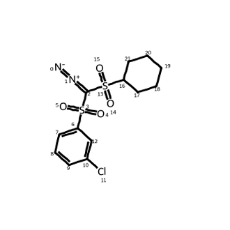 [N-]=[N+]=C(S(=O)(=O)c1cccc(Cl)c1)S(=O)(=O)C1CCCCC1